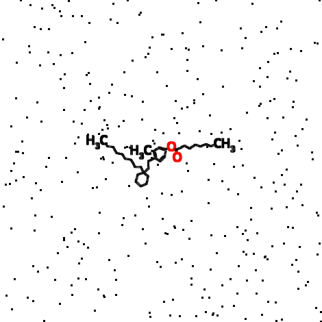 CCCCCCCCCC1(CCc2ccc(OC(=O)CCCCCCC)cc2C)CCCCC1